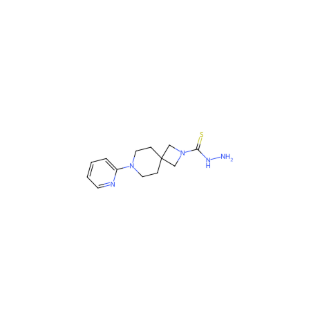 NNC(=S)N1CC2(CCN(c3ccccn3)CC2)C1